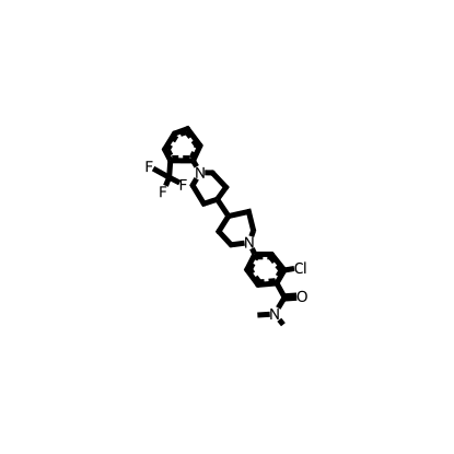 CN(C)C(=O)c1ccc(N2CCC(C3CCN(c4ccccc4C(F)(F)F)CC3)CC2)cc1Cl